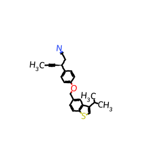 CC#C[C@@H](CC#N)c1ccc(OCc2ccc3scc(C(C)C)c3c2)cc1